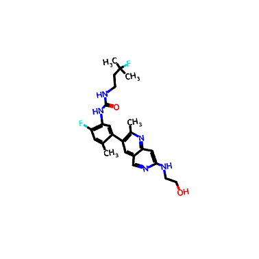 Cc1cc(F)c(NC(=O)NCCC(C)(C)F)cc1-c1cc2cnc(NCCO)cc2nc1C